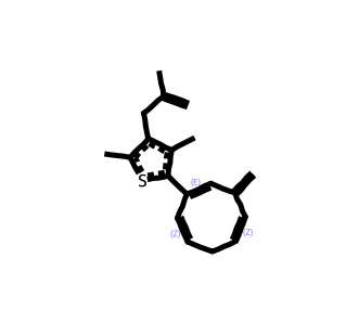 C=C1/C=C\C/C=C\C(c2sc(C)c(CC(=C)C)c2C)=C/1